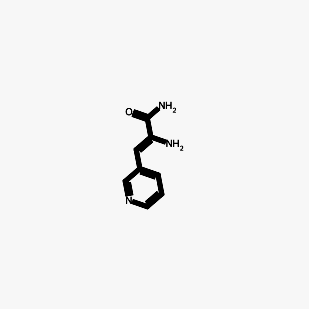 NC(=O)C(N)=Cc1cccnc1